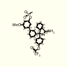 COc1cc(OS(C)(=O)=O)cc(-c2cccc(C3(c4ccc(OC(=O)C(F)(F)F)cc4)N=C(N)c4ccccc43)c2)c1